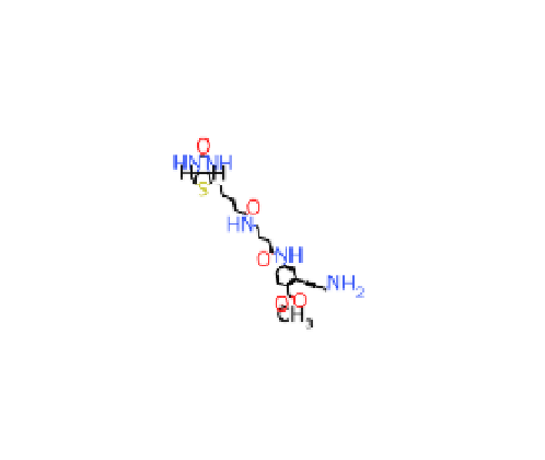 COC(=O)c1ccc(NC(=O)CCCNC(=O)CCCC[C@@H]2SC[C@@H]3NC(=O)N[C@@H]32)cc1C#CCN